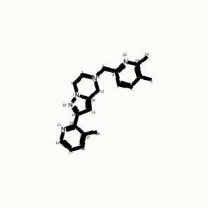 Cc1ccc(CN2CCn3nc(-c4ncccc4C)cc3C2)nc1C